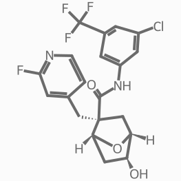 O=C(Nc1cc(Cl)cc(C(F)(F)F)c1)[C@@]1(Cc2ccnc(F)c2)C[C@H]2O[C@@H]1C[C@@H]2O